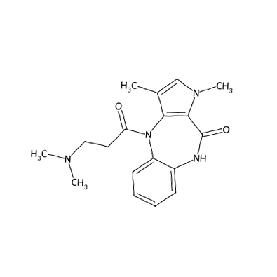 Cc1cn(C)c2c1N(C(=O)CCN(C)C)c1ccccc1NC2=O